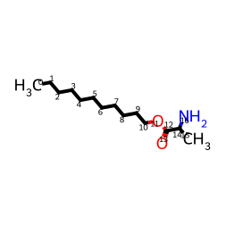 CCCCCCCCCCCOC(=O)C(C)N